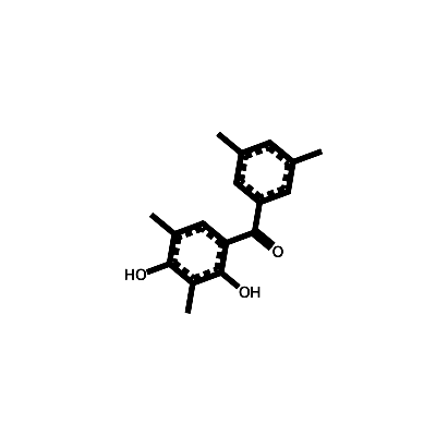 Cc1cc(C)cc(C(=O)c2cc(C)c(O)c(C)c2O)c1